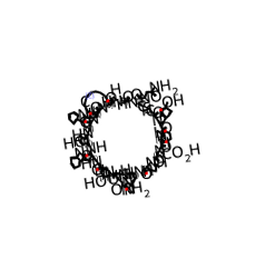 C[C@@H]1NC(=O)[C@@H]2CCCC/C=C\CCCC[C@@H](C(=O)N2C)N(C)C(=O)[C@H](Cc2c[nH]c3ccccc23)NC(=O)[C@H](CO)NC(=O)[C@H](Cc2c[nH]c3ccccc23)NC(=O)[C@@H]2C[C@@H](O)CN2C(=O)[C@H](CCC(N)=O)NC(=O)[C@H](Cc2cnc[nH]2)NC(=O)[C@@H]2CCCN2C(=O)[C@H](CC(=O)O)NC(=O)[C@@H]2CCCCN2C(=O)C(Cc2ccc(O)cc2)NC(=O)CSC[C@@H](C(=O)NCC(N)=O)NC1=O